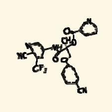 C[C@@](COc1ccc(C#N)cc1)(OC(=O)c1cccnc1)C(=O)Nc1cnc(C#N)c(C(F)(F)F)c1